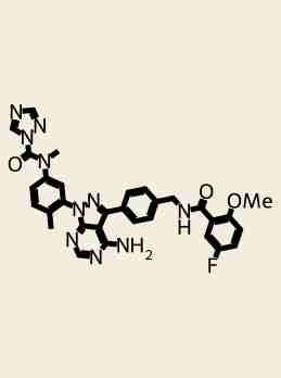 COc1ccc(F)cc1C(=O)NCc1ccc(-c2nn(-c3cc(N(C)C(=O)n4cncn4)ccc3C)c3ncnc(N)c23)cc1